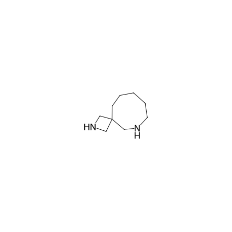 C1CCNCC2(CC1)CNC2